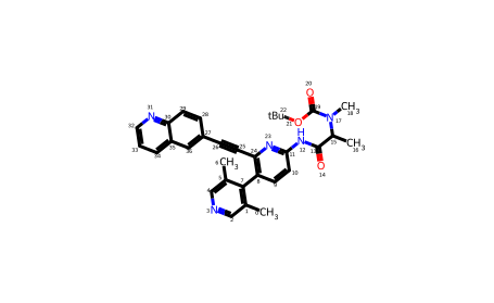 Cc1cncc(C)c1-c1ccc(NC(=O)C(C)N(C)C(=O)OC(C)(C)C)nc1C#Cc1ccc2ncccc2c1